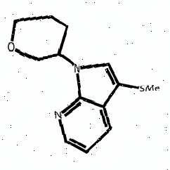 CSc1cn(C2CCCOC2)c2ncccc12